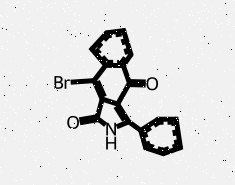 O=C1NC(c2ccccc2)=C2C(=O)c3ccccc3C(Br)=C12